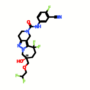 N#Cc1cc(NC(=O)N2CCc3nn4c(c3C2)C(F)(F)CC[C@@](O)(COCC(F)F)C4)ccc1F